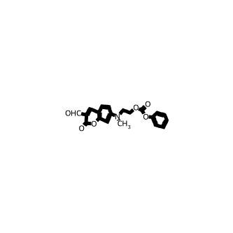 CN(CCOC(=O)Oc1ccccc1)c1ccc2cc(C=O)c(=O)oc2c1